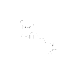 CC(=O)[15NH]CCCCC(N[13CH3])C(=O)N[13CH3]